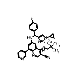 CC(C)(C)CNc1c(C#N)cnc2c(-c3cccnc3)cc(NC(c3ccc(F)cc3)c3cn(C4CC4)nn3)cc12